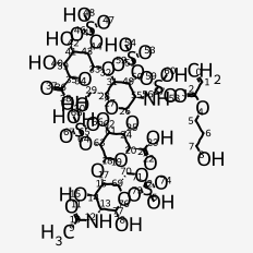 C=CC(=O)OCCCO.CC(=O)N[C@@H]1[C@@H](O)[C@H](O[C@@H]2O[C@H](C(=O)O)[C@@H](O[C@@H]3O[C@H](CO)[C@@H](O[C@H]4O[C@@H](C(=O)O)[C@H](O)[C@@H](O)[C@@H]4OS(=O)(=O)O)[C@H](OS(=O)(=O)O)[C@H]3NS(=O)(=O)O)[C@H](O)[C@H]2OS(=O)(=O)O)[C@H](COS(=O)(=O)O)O[C@H]1O